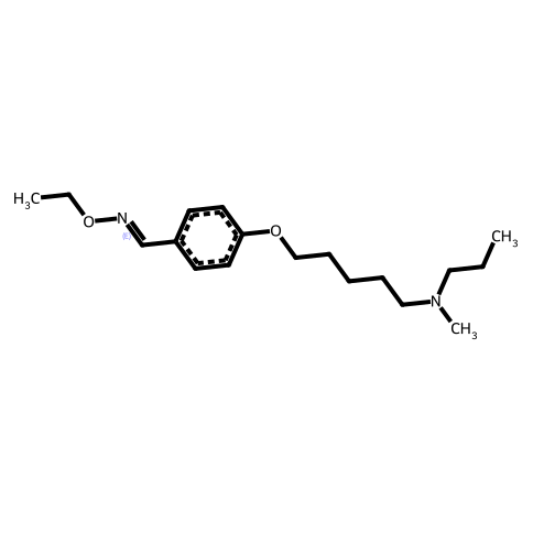 CCCN(C)CCCCCOc1ccc(/C=N/OCC)cc1